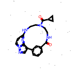 O=C1NCCN(C(=O)C2CC2)CCNc2ccn3ncc(c3n2)-c2cccc1c2